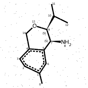 Cc1ccc2c(c1)[C@H](N)[C@H](C(C)C)OC2